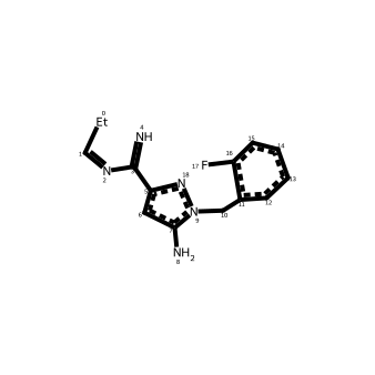 CC/C=N\C(=N)c1cc(N)n(Cc2ccccc2F)n1